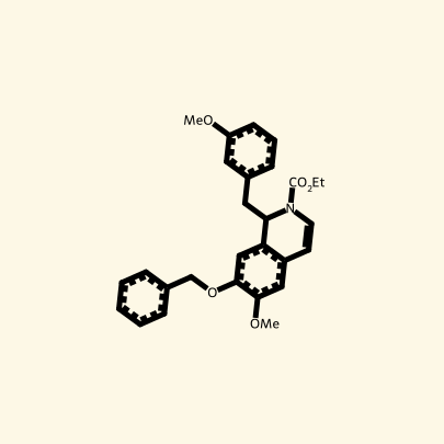 CCOC(=O)N1C=Cc2cc(OC)c(OCc3ccccc3)cc2C1Cc1cccc(OC)c1